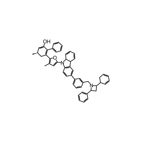 Cc1cc(N2c3ccc(-c4cccc(CN5C(c6ccccc6)CC5C5C=CC=CC5)c4)cc3C3C=CC=CC32)oc1C1=C(c2ccccc2)C(O)=C[C@H](C)C1